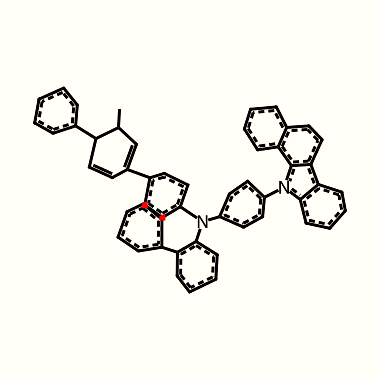 CC1C=C(c2ccc(N(c3ccc(-n4c5ccccc5c5ccc6ccccc6c54)cc3)c3ccccc3-c3ccccc3)cc2)C=CC1c1ccccc1